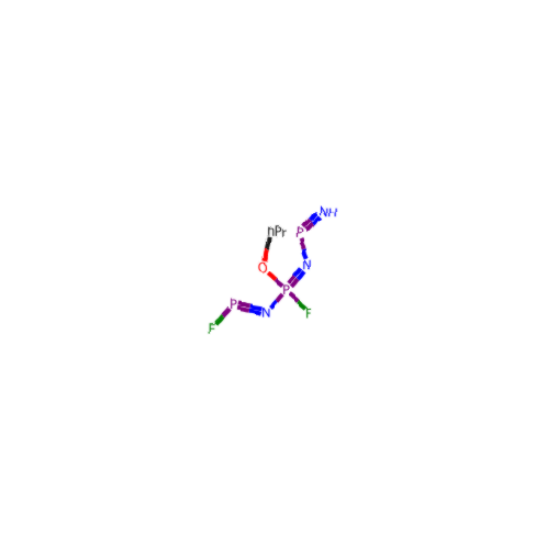 CCCOP(F)(=NP=N)/N=P/F